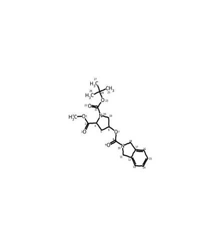 COC(=O)C1CC(OC(=O)N2Cc3ccccc3C2)CN1C(=O)OC(C)(C)C